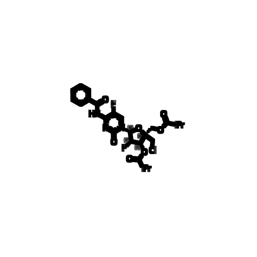 CC(C)C(=O)OC[C@@]1(CCl)O[C@@H](n2cc(F)c(NC(=O)c3ccccc3)nc2=O)[C@H](F)[C@@H]1OC(=O)C(C)C